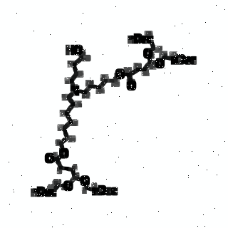 CCCCCCCCCCCOC(CCC(=O)OCCCCCCCN(CCCCO)CCCCCOC(=O)CCC(OCCCCCCCCCCC)OCCCCCCCCCCC)OCCCCCCCCCCC